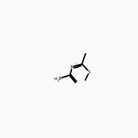 BC(=C)/N=C(/C)SC